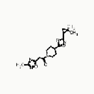 Cc1noc(CC(=O)N2CCC(c3nc(C4CC4(C)C)no3)CC2)n1